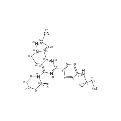 CCNC(=O)Nc1ccc(-c2nc3c(c(N4CCOC[C@@H]4C)n2)CCn2nc(C#N)cc2-3)cc1